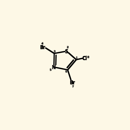 Clc1sc(Br)nc1Br